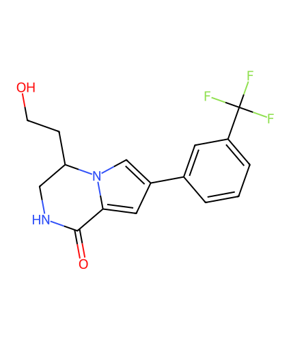 O=C1NCC(CCO)n2cc(-c3cccc(C(F)(F)F)c3)cc21